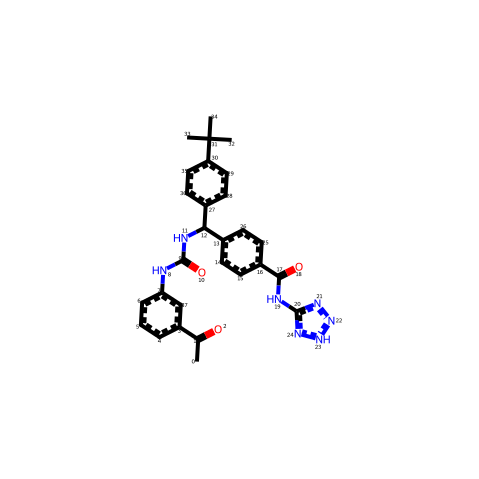 CC(=O)c1cccc(NC(=O)NC(c2ccc(C(=O)Nc3nn[nH]n3)cc2)c2ccc(C(C)(C)C)cc2)c1